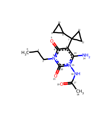 CCCn1c(=O)c(C2(C3CC3)CC2)c(N)n(NC(C)=O)c1=O